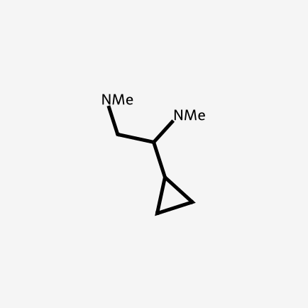 CNCC(NC)C1CC1